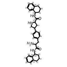 NC(Cc1ccc(C2CNC(C(=O)NC3CCCc4ccccc43)C2)cc1)C(=O)NC1CCCc2ccccc21